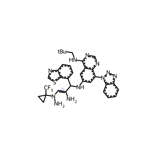 CC(C)(C)CNc1ncnc2c(-n3nnc4ccccc43)cc(NC(/C(N)=C/N(N)C3(C(F)(F)F)CC3)c3cccc4ncsc34)cc12